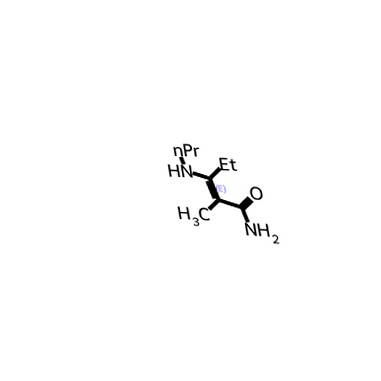 CCCN/C(CC)=C(\C)C(N)=O